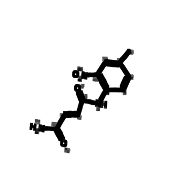 Cc1ccc(NC(=O)C=CC(N)=O)c([N+](=O)[O-])c1